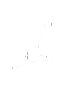 C=CCCC(C)CNCCC